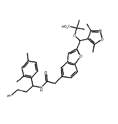 Cc1ccc(C(CCC(C)C)NC(=O)Cc2ccc3oc(C(OC(C)(C)C(=O)O)c4c(C)noc4C)cc3c2)c(C)c1